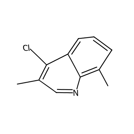 Cc1cnc2c(C)cccc2c1Cl